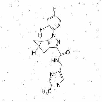 Cc1cnc(CNC(=O)c2nn(-c3ccc(F)cc3F)c3c2C[C@H]2C[C@@H]32)cn1